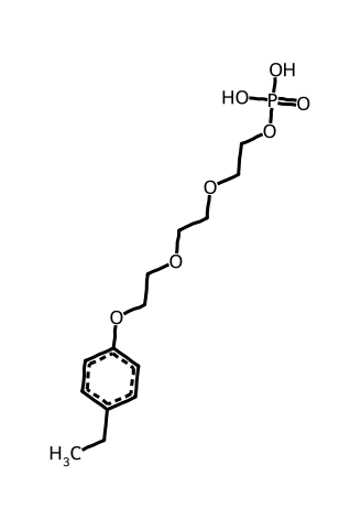 CCc1ccc(OCCOCCOCCOP(=O)(O)O)cc1